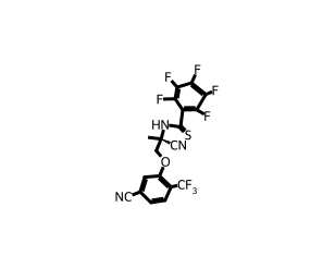 C[C@@](C#N)(COc1cc(C#N)ccc1C(F)(F)F)NC(=S)c1c(F)c(F)c(F)c(F)c1F